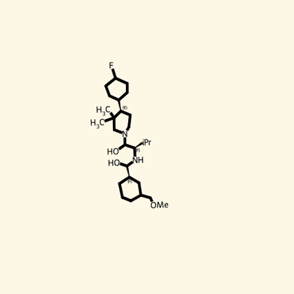 COCC1CCC[C@@H](C(O)N[C@H](C(C)C)C(O)N2CC[C@H](C3CCC(F)CC3)C(C)(C)C2)C1